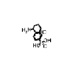 Cl.NC1CCCc2cc(P(=O)(O)O)ccc21